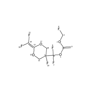 C=C(OCF)OC(F)(F)C1(F)COC(=C(F)F)OC1